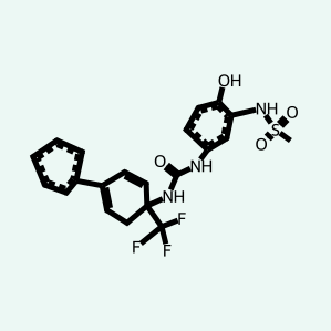 CS(=O)(=O)Nc1cc(NC(=O)NC2(C(F)(F)F)C=CC(c3ccccc3)=CC2)ccc1O